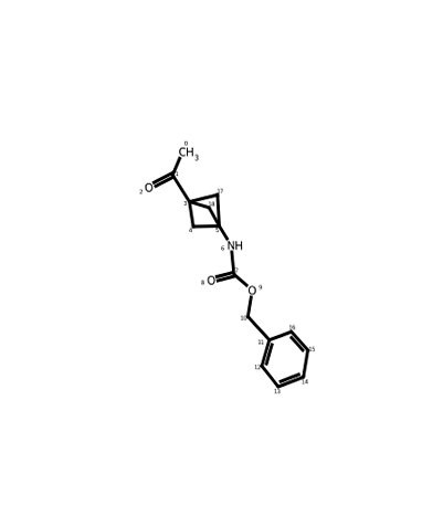 CC(=O)C12CC(NC(=O)OCc3ccccc3)(C1)C2